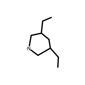 CCC1C[N]CC(CC)C1